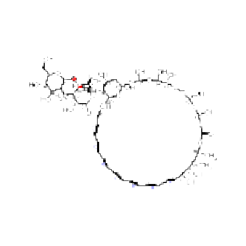 C[C@@H]1[C@H](O)[C@@H](C)/C=C/C=C/C=C/C=C/C=C/C=C/C=C/[C@H](O[C@@H]2O[C@H](C)[C@@H](O)[C@H](N)[C@@H]2O)C[C@@H]2O[C@](O)(C[C@@H](O)C[C@@H](O)[C@H](O)CC[C@@H](O)C[C@@H](O)CC(=O)O[C@H]1C)C[C@H](O)[C@H]2NC(=O)NO[C@@H]1OC(CO)[C@@H](O)[C@H](O)C1O